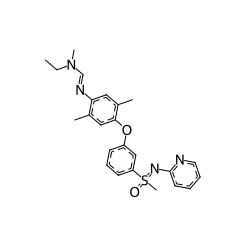 CCN(C)C=Nc1cc(C)c(Oc2cccc(S(C)(=O)=Nc3ccccn3)c2)cc1C